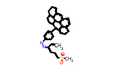 C=CC(=C\C=C\S(C)(=O)=O)/N=N\c1ccc(-c2c3cccc4ccc5cc6c7c(ccc2c7c5c43)CCC=6)cc1